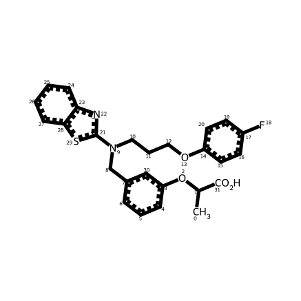 CC(Oc1cccc(CN(CCCOc2ccc(F)cc2)c2nc3ccccc3s2)c1)C(=O)O